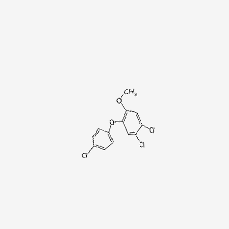 COc1cc(Cl)c(Cl)cc1Oc1ccc(Cl)cc1